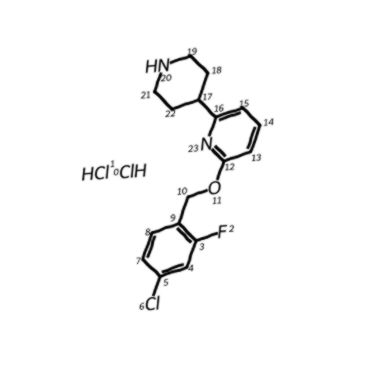 Cl.Cl.Fc1cc(Cl)ccc1COc1cccc(C2CCNCC2)n1